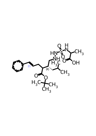 CC(C)C[C@@H](CNNS(=O)(=O)NC(C)C(=O)O)C(C/C=C/c1ccccc1)C(=O)OC(C)(C)C